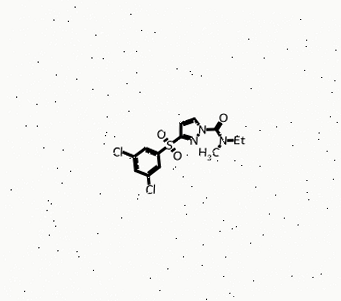 CCN(C)C(=O)n1ccc(S(=O)(=O)c2cc(Cl)cc(Cl)c2)n1